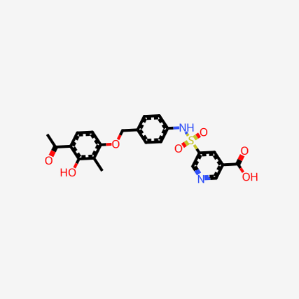 CC(=O)c1ccc(OCc2ccc(NS(=O)(=O)c3cncc(C(=O)O)c3)cc2)c(C)c1O